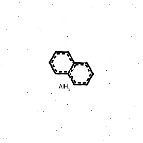 [AlH3].c1ccc2ccccc2c1